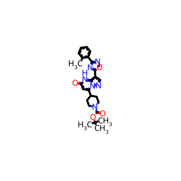 Cc1ccccc1-c1noc(-c2cnn3c(C4CCN(C(=O)OC(C)(C)C)CC4)cc(=O)[nH]c23)n1